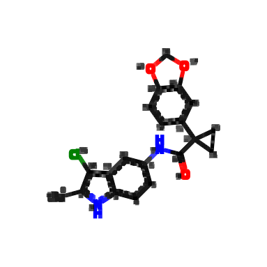 CC(C)(C)c1[nH]c2ccc(NC(=O)C3(c4ccc5c(c4)OCO5)CC3)cc2c1Cl